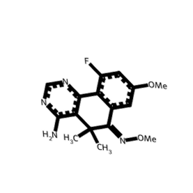 CO/N=C1\c2cc(OC)cc(F)c2-c2ncnc(N)c2C1(C)C